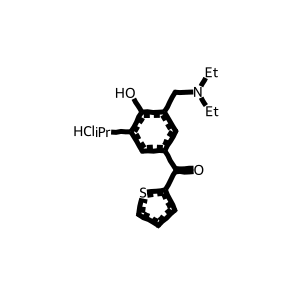 CCN(CC)Cc1cc(C(=O)c2cccs2)cc(C(C)C)c1O.Cl